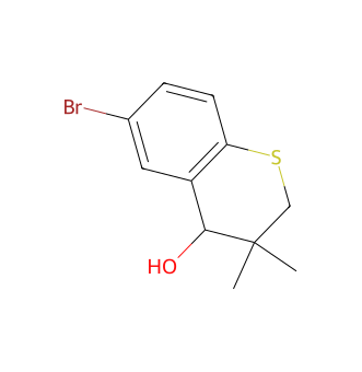 CC1(C)CSc2ccc(Br)cc2C1O